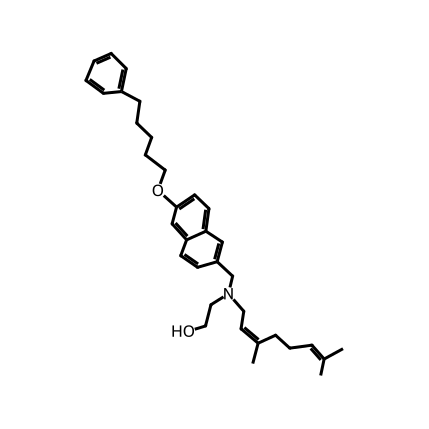 CC(C)=CCC/C(C)=C\CN(CCO)Cc1ccc2cc(OCCCCCc3ccccc3)ccc2c1